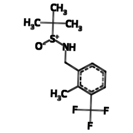 Cc1c(CN[S+]([O-])C(C)(C)C)cccc1C(F)(F)F